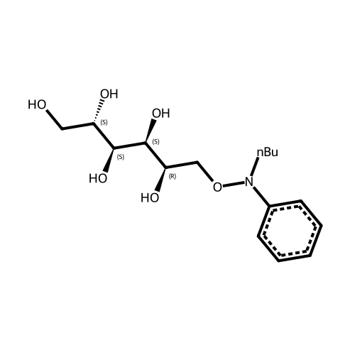 CCCCN(OC[C@@H](O)[C@H](O)[C@@H](O)[C@@H](O)CO)c1ccccc1